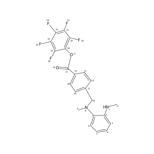 CNc1ccccc1N(C)Cc1ccc(C(=O)Oc2c(F)c(F)c(F)c(F)c2F)cc1